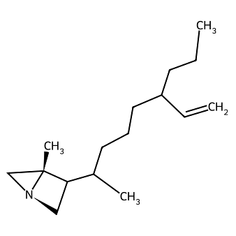 C=CC(CCC)CCCC(C)C1C[N@@]2C[C@]12C